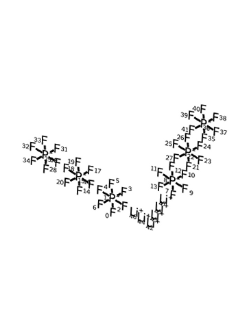 F[P-](F)(F)(F)(F)F.F[P-](F)(F)(F)(F)F.F[P-](F)(F)(F)(F)F.F[P-](F)(F)(F)(F)F.F[P-](F)(F)(F)(F)F.F[P-](F)(F)(F)(F)F.[Li+].[Li+].[Li+].[Li+].[Li+].[Li+]